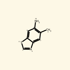 Cc1cc2ncsc2cc1N